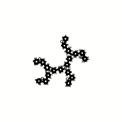 c1ccc2c(c1)oc1ccc(-c3ccc(N(c4ccc(-c5ccc(N(c6ccc(-c7ccc(N(c8ccc(-c9ccc%10oc%11ccccc%11c%10c9)cc8)c8ccc(-c9cccc%10c9oc9ccccc9%10)cc8)cc7)cc6)c6ccc(-c7cccc8c7oc7ccccc78)cc6)cc5)cc4)c4ccc(-c5cccc6c5oc5ccccc56)cc4)cc3)cc12